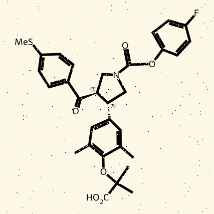 CSc1ccc(C(=O)[C@H]2CN(C(=O)Oc3ccc(F)cc3)C[C@@H]2c2cc(C)c(OC(C)(C)C(=O)O)c(C)c2)cc1